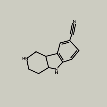 N#Cc1ccc2c(c1)C1CNCCC1N2